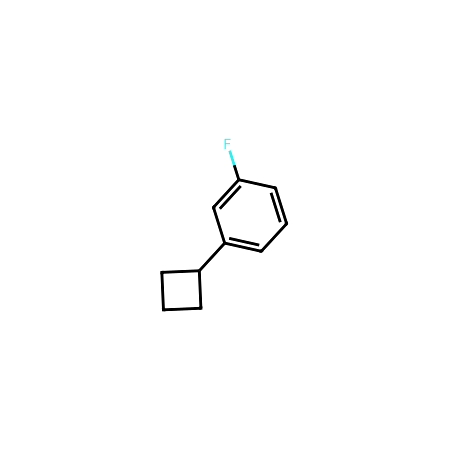 Fc1cccc(C2CCC2)c1